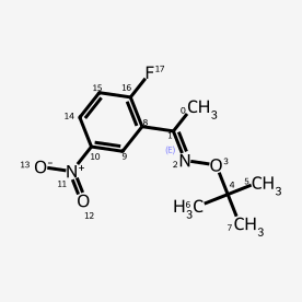 C/C(=N\OC(C)(C)C)c1cc([N+](=O)[O-])ccc1F